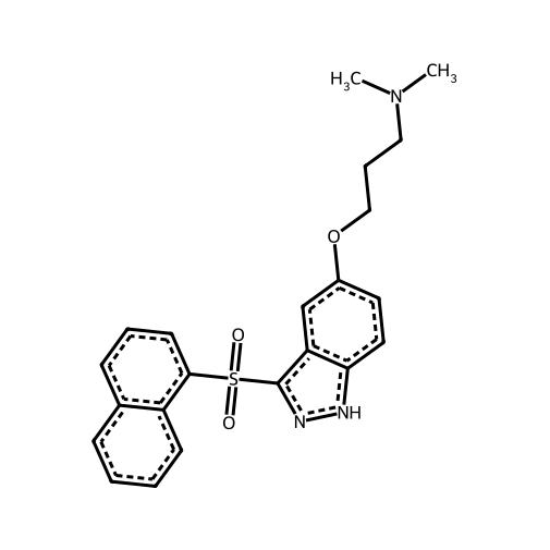 CN(C)CCCOc1ccc2[nH]nc(S(=O)(=O)c3cccc4ccccc34)c2c1